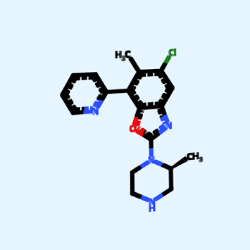 Cc1c(Cl)cc2nc(N3CCNC[C@@H]3C)oc2c1-c1ccccn1